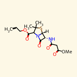 C=CCOC(=O)C1N2C(=O)[C@@H](NC(=O)CC(=O)OC)[C@H]2SC1(C)C